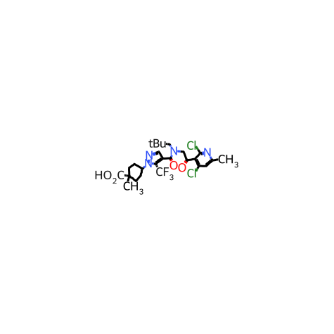 Cc1cc(Cl)c(C(=O)CN(CC(C)(C)C)C(=O)c2cnn(C3CCC(C)(C(=O)O)CC3)c2C(F)(F)F)c(Cl)n1